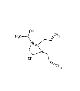 C=CCC1=[N+](C(C)O)CCN1CC=C.[Cl-]